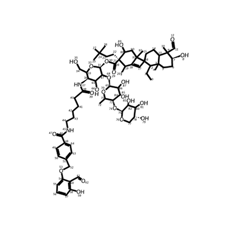 CCC1C2(C)CC[C@H](O)C(C)(C=O)C2CCC12C=C1C(I)[C@@](CCC(C)(C)C)(C(=O)O[C@@H]3OC(CO)[C@H](NC(=O)CCCCCNC(=O)c4ccc(COc5cccc(O)c5C=O)cc4)C(O)C3O[C@@H]3OC(C)[C@H](O[C@@H]4OC[C@@H](O)C(O)C4O)C(O)C3O)C(O)CC12C